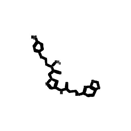 Cc1ccc(OCCN(C)C(=O)Cn2cc(NC(=O)CCNc3ccc4c(n3)OCO4)cn2)cc1